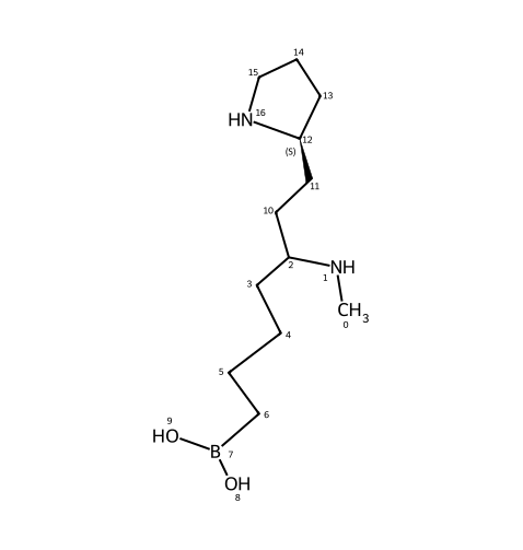 CNC(CCCCB(O)O)CC[C@@H]1CCCN1